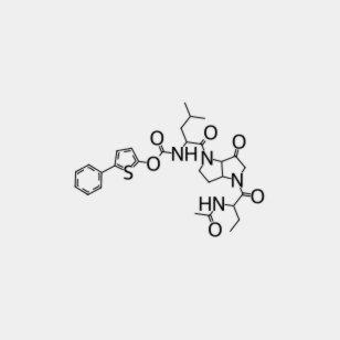 CCC(NC(C)=O)C(=O)N1CC(=O)C2C1CCN2C(=O)C(CC(C)C)NC(=O)Oc1ccc(-c2ccccc2)s1